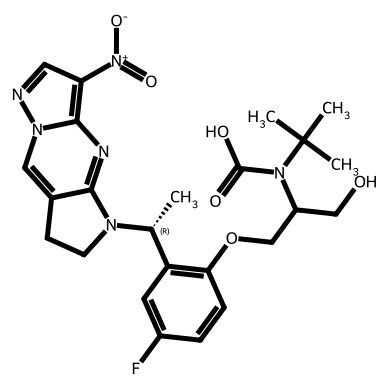 C[C@H](c1cc(F)ccc1OCC(CO)N(C(=O)O)C(C)(C)C)N1CCc2cn3ncc([N+](=O)[O-])c3nc21